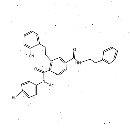 CCc1ccc(N(C(C)=O)C(=O)c2ccc(C(=O)NCCc3ccccc3)cc2CCc2ccccc2C#N)cc1